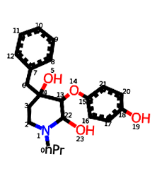 CCCN1CCC(O)(Cc2ccccc2)C(Oc2ccc(O)cc2)C1O